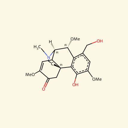 COC1=CC2[C@@H]3[C@H](OC)c4c(CO)cc(OC)c(O)c4[C@]2(CCN3C)CC1=O